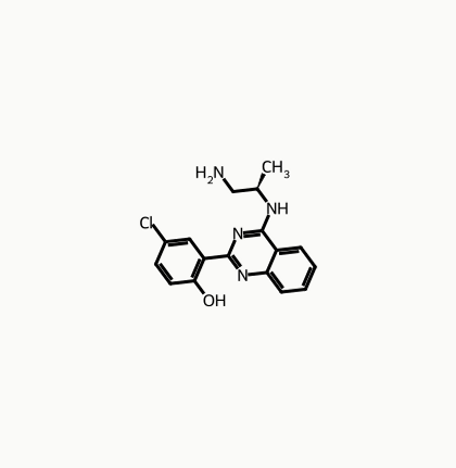 C[C@H](CN)Nc1nc(-c2cc(Cl)ccc2O)nc2ccccc12